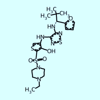 CCN1CCN(S(=O)(=O)c2scc(Nc3nsnc3N[C@@H](c3ccco3)C(C)(C)C)c2O)CC1